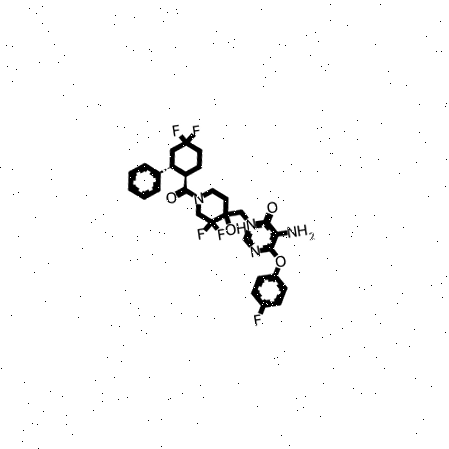 Nc1c(Oc2ccc(F)cc2)ncn(CC2(O)CCN(C(=O)[C@@H]3CCC(F)(F)C[C@H]3c3ccccc3)CC2(F)F)c1=O